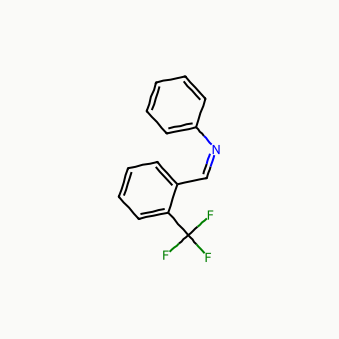 FC(F)(F)c1ccccc1/C=N\c1ccccc1